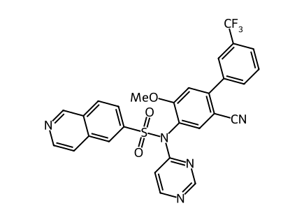 COc1cc(-c2cccc(C(F)(F)F)c2)c(C#N)cc1N(c1ccncn1)S(=O)(=O)c1ccc2cnccc2c1